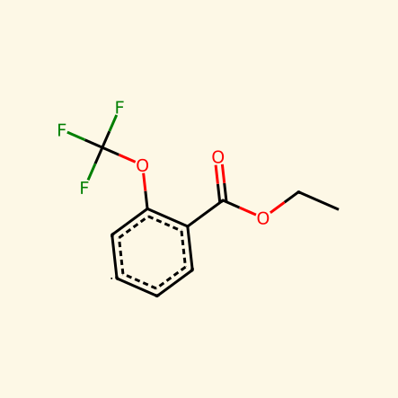 CCOC(=O)c1cc[c]cc1OC(F)(F)F